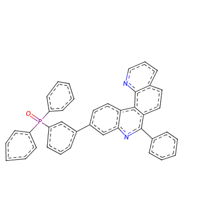 O=P(c1ccccc1)(c1ccccc1)c1cccc(-c2ccc3c(c2)nc(-c2ccccc2)c2ccc4cccnc4c23)c1